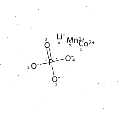 O=P([O-])([O-])[O-].[Co+2].[Li+].[Mn+2]